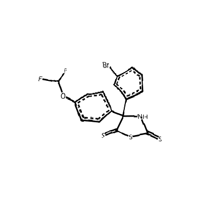 FC(F)Oc1ccc(C2(c3cccc(Br)c3)NC(=S)SC2=S)cc1